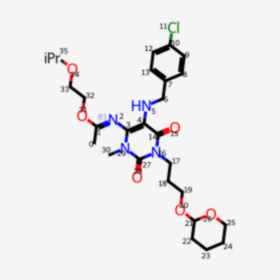 C/C(=N\c1c(NCc2ccc(Cl)cc2)c(=O)n(CCCOC2CCCCO2)c(=O)n1C)OCCOC(C)C